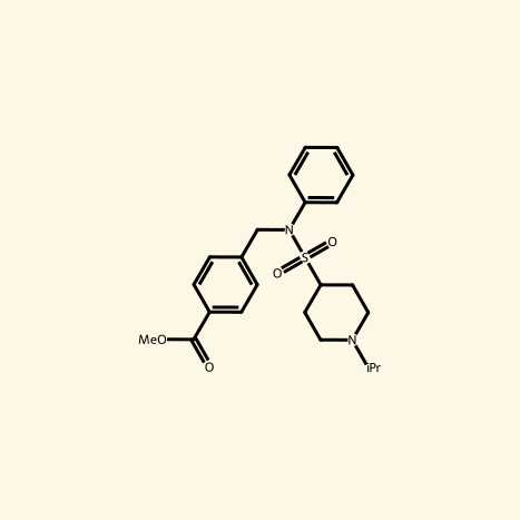 COC(=O)c1ccc(CN(c2ccccc2)S(=O)(=O)C2CCN(C(C)C)CC2)cc1